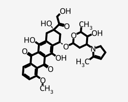 COc1cccc2c1C(=O)c1c(O)c3c(c(O)c1C2=O)C[C@@](O)(C(=O)CO)C[C@@H]3OC1CC(N2CCC=C2C)C(O)C(C)O1